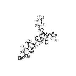 CCC1(C[C@H](NC(=O)OCc2ccccc2)C(=O)OCC(=O)c2ccc3c(c2)oc2cc(Br)ccc23)CC1